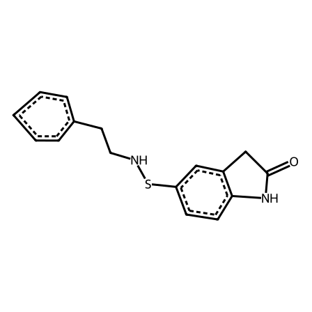 O=C1Cc2cc(SNCCc3ccccc3)ccc2N1